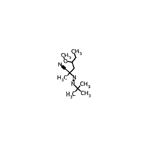 CCC(CC(C)(C#N)N=NC(C)(C)C)OC